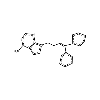 Nc1ncnc2c1ccn2CCC=C(c1ccccc1)c1ccccc1